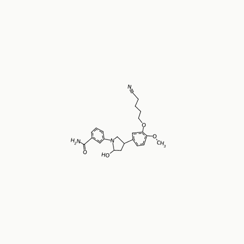 COc1ccc(C2CC(O)N(c3cccc(C(N)=O)c3)C2)cc1OCCCCC#N